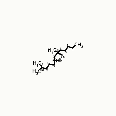 CCCCCC1(C)CN(CCCC(C)C)N=N1